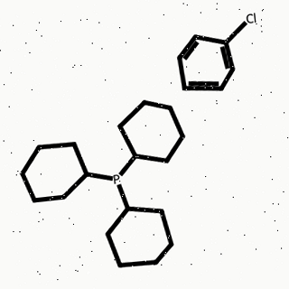 C1CCC(P(C2CCCCC2)C2CCCCC2)CC1.Clc1ccccc1